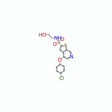 O=S(=O)(NCCO)c1cc2c(Oc3ccc(Cl)cc3)cncc2s1